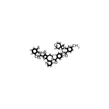 Cc1ccc(C(=O)Nc2ccc(C(=O)N3CCc4c(sc(C(=O)Nc5c(F)cccc5C(F)(F)F)c4F)-c4ncccc43)cc2)c(N2CC3(CCOCC3)C2)n1